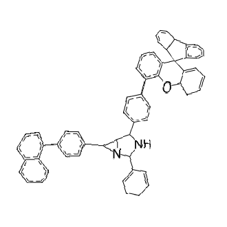 C1=CCC2Oc3c(-c4ccc(C5NC(C6=CCCC=C6)N6C(c7ccc(-c8cccc9ccccc89)cc7)C56)cc4)cccc3C3(C2=C1)c1ccccc1C1C=CC=CC13